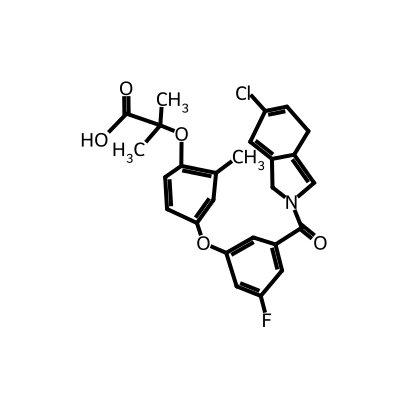 Cc1cc(Oc2cc(F)cc(C(=O)N3C=C4CC=C(Cl)C=C4C3)c2)ccc1OC(C)(C)C(=O)O